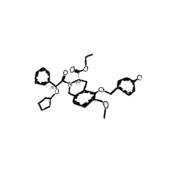 CCOC(=O)[C@@H]1Cc2c(ccc(OC)c2OCc2ccc(Cl)cc2)CN1C(=O)[C@@H](OC1CCCC1)c1ccccc1